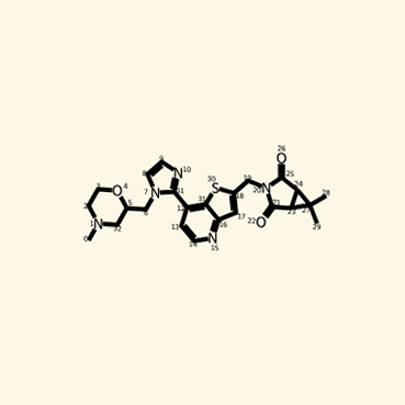 CN1CCOC(Cn2ccnc2-c2ccnc3cc(CN4C(=O)C5C(C4=O)C5(C)C)sc23)C1